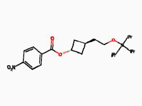 CC(C)[Si](OCC[C@H]1C[C@H](OC(=O)c2ccc([N+](=O)[O-])cc2)C1)(C(C)C)C(C)C